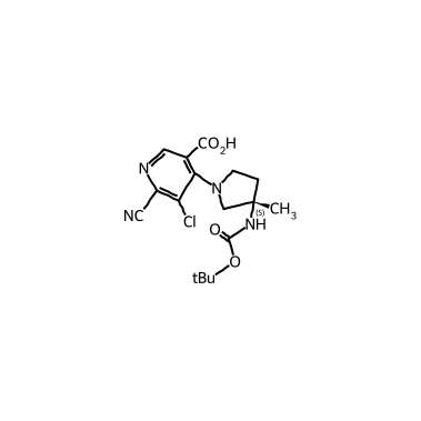 CC(C)(C)OC(=O)N[C@@]1(C)CCN(c2c(C(=O)O)cnc(C#N)c2Cl)C1